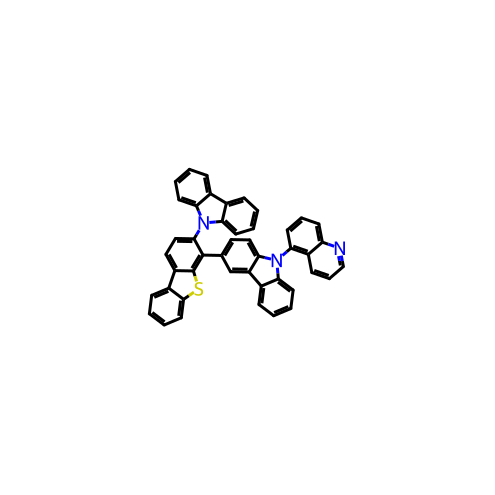 c1cc(-n2c3ccccc3c3cc(-c4c(-n5c6ccccc6c6ccccc65)ccc5c4sc4ccccc45)ccc32)c2cccnc2c1